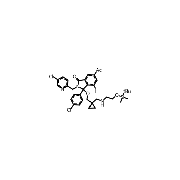 CC(=O)c1cc(F)c2c(c1)C(=O)N(Cc1ccc(Cl)cn1)C2(OCC1(CNCCO[Si](C)(C)C(C)(C)C)CC1)c1ccc(Cl)cc1